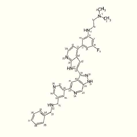 CN(C)CCNc1cc(F)cc(-c2ccnc3[nH]c(-c4n[nH]c5cnc(-c6cncc(CNCc7ccccc7)c6)cc45)cc23)c1